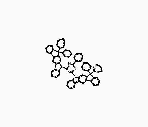 c1ccc(-c2nc(C3c4ccccc4-c4cc5c(cc43)C(c3ccccc3)(c3ccccc3)c3ccccc3-5)nc(-n3c4ccccc4c4cc5c(cc43)C(c3ccccc3)(c3ccccc3)c3ccccc3-5)n2)cc1